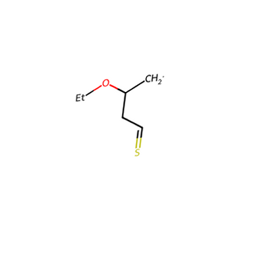 [CH2]C(CC=S)OCC